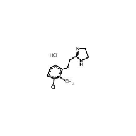 Cc1c(Cl)cccc1SCC1=NCCN1.Cl